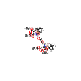 CC(C)(C)OC(=O)C[C@H](C(=O)OC(C)(C)C)N(CCOCCOCCN([C@H](CC(=O)OC(C)(C)C)C(=O)OC(C)(C)C)S(=O)(=O)c1ccccc1[N+](=O)[O-])S(=O)(=O)c1ccccc1[N+](=O)[O-]